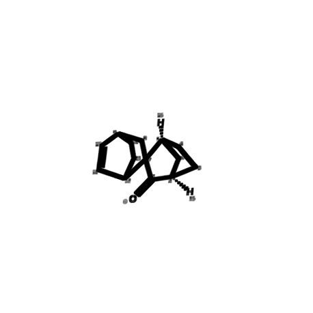 O=C1[C@@H]2CC[C@@H](C2)C12CC1C=CC2CC1